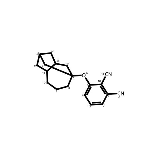 N#Cc1cccc(OC23CCCC4CC(CC4C2)C3)c1C#N